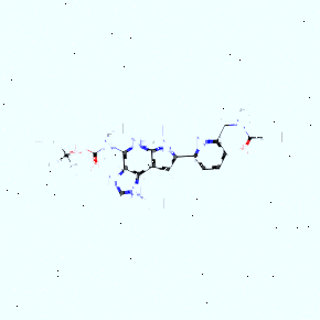 CC(=O)N(C)Cc1cccc(-c2cc3c(nc(N(C)C(=O)OC(C)(C)C)c4ncn(C)c43)[nH]2)n1